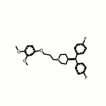 COc1ccc(OCCCN2CCC(=C(c3ccc(F)cc3)c3ccc(F)cc3)CC2)cc1OC